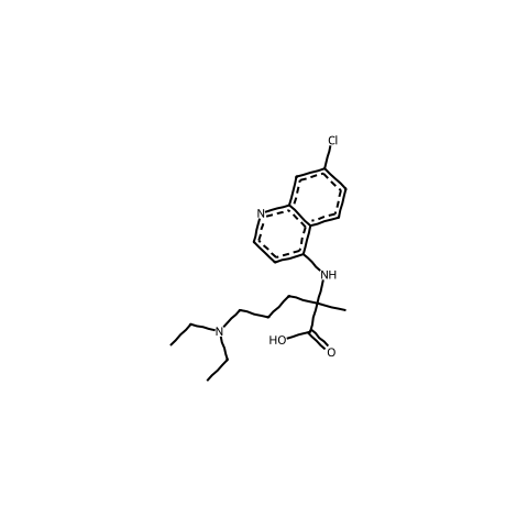 CCN(CC)CCCC(C)(Nc1ccnc2cc(Cl)ccc12)C(=O)O